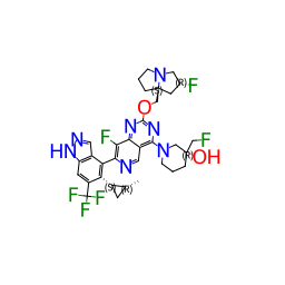 C[C@@H]1C[C@@H]1c1c(C(F)(F)F)cc2[nH]ncc2c1-c1ncc2c(N3CCC[C@](O)(CF)C3)nc(OC[C@@]34CCCN3C[C@H](F)C4)nc2c1F